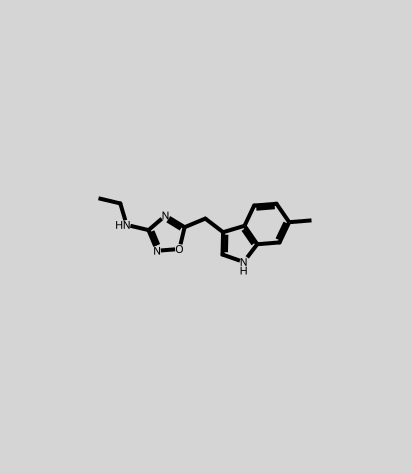 CCNc1noc(Cc2c[nH]c3cc(C)ccc23)n1